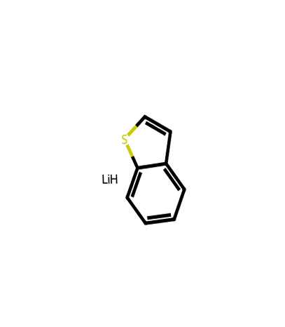 [LiH].c1ccc2sccc2c1